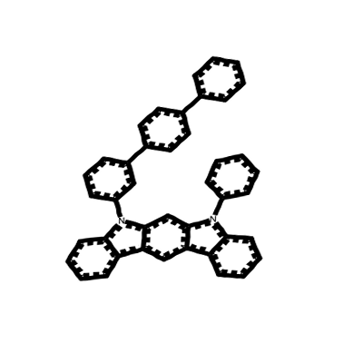 c1ccc(-c2ccc(-c3cccc(-n4c5ccccc5c5cc6c7ccccc7n(-c7ccccc7)c6cc54)c3)cc2)cc1